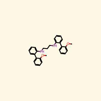 COc1ccccc1-c1ccccc1PCCCPc1ccccc1-c1ccccc1OC